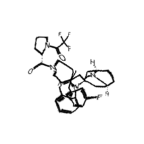 Cc1nc2ccccc2n1[C@H]1C[C@H]2CC[C@@H](C1)N2CCC1(c2cccc(F)c2)CCN(C(=O)[C@@H]2CCCN2C(=O)C(F)(F)F)CC1